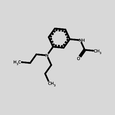 CCCN(CCC)c1cccc(NC(C)=O)c1